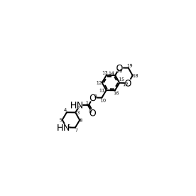 O=C(NC1CCNCC1)OCc1ccc2c(c1)OCCO2